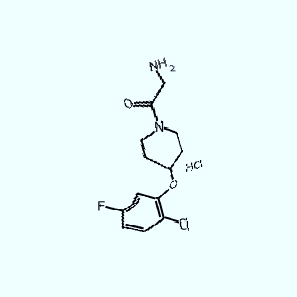 Cl.NCC(=O)N1CCC(Oc2cc(F)ccc2Cl)CC1